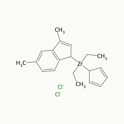 C[CH2][Zr]([CH2]C)([CH]1C=CC=C1)[CH]1C=C(C)c2cc(C)ccc21.[Cl-].[Cl-]